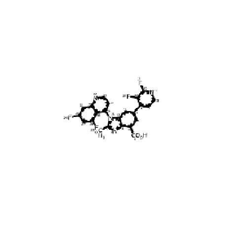 Cc1nc2c(C(=O)O)cc(-c3ccnc(F)c3F)cc2n1-c1ccnc2cc(F)cc(F)c12